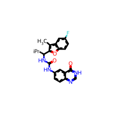 Cc1c(C(NC(=O)Nc2ccc3nc[nH]c(=O)c3c2)C(C)C)oc2ccc(F)cc12